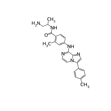 Cc1ccc(-c2cnc3c(Nc4ccc(C(=O)NC(C)CN)c(C)c4)nccn23)cc1